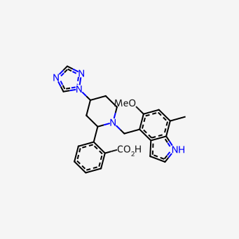 COc1cc(C)c2[nH]ccc2c1CN1CCC(n2cncn2)CC1c1ccccc1C(=O)O